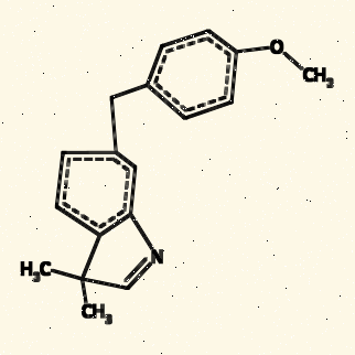 COc1ccc(Cc2ccc3c(c2)N=CC3(C)C)cc1